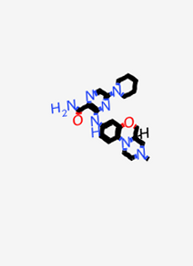 CN1CCN2c3ccc(Nc4nc(N5CCCCC5)cnc4C(N)=O)cc3OC[C@H]2C1